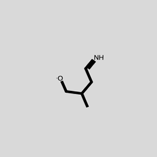 CC(C[O])CC=N